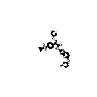 CN1CC[C@H](Oc2ccc3nc(NC(=O)/C(=N/O[C@@H]4CCOC4)c4ccc(S(=O)(=O)C5CC5)cc4)sc3n2)C1